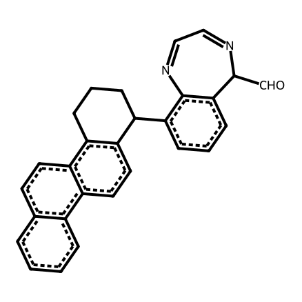 O=CC1N=CC=Nc2c1cccc2C1CCCc2c1ccc1c2ccc2ccccc21